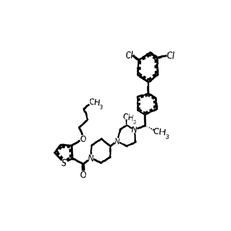 CCCCOc1ccsc1C(=O)N1CCC(N2CCN([C@@H](C)c3ccc(-c4cc(Cl)cc(Cl)c4)cc3)[C@H](C)C2)CC1